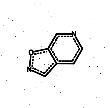 c1cc2cnoc2cn1